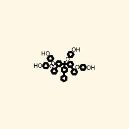 CC(c1ccc(-c2ccccc2)cc1)(c1ccc(Oc2ccc(O)cc2)c(-c2ccccc2Oc2ccc(O)cc2)c1)c1cc(-c2ccccc2Oc2ccc(O)cc2)ccc1Oc1ccc(O)cc1